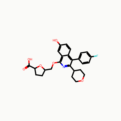 O=C(O)C1CCC(COc2nc(C3CCOCC3)c(-c3ccc(F)cc3)c3ccc(O)cc23)O1